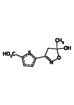 CC1(O)CC(c2ccc(C(=O)O)s2)=NO1